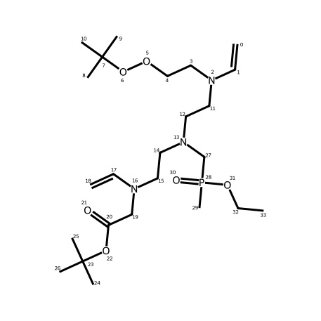 C=CN(CCOOC(C)(C)C)CCN(CCN(C=C)CC(=O)OC(C)(C)C)CP(C)(=O)OCC